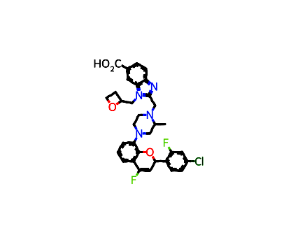 CC1CN(c2cccc3c2OC(c2ccc(Cl)cc2F)C=C3F)CCN1Cc1nc2ccc(C(=O)O)cc2n1CC1CCO1